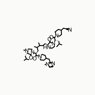 CC(C)C[C@H]1C(=O)N([C@@H](CC(C)C(C)CC[C@@H]2NCCN([C@@H](CC(C)C)C(=O)N3CCC(CC#N)CC3)C2=O)C(=O)N2CCC(Cc3nccn3C)CC2)CCN1C